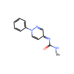 CCC(C)NC(=O)N=c1ccn(-c2ccccc2)nc1